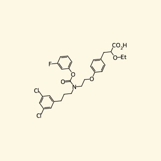 CCOC(Cc1ccc(OCCN(CCCc2cc(Cl)cc(Cl)c2)C(=O)Oc2cccc(F)c2)cc1)C(=O)O